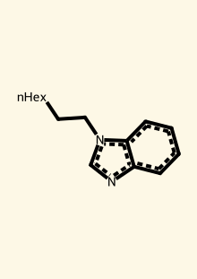 CCCCCCCCn1cnc2ccccc21